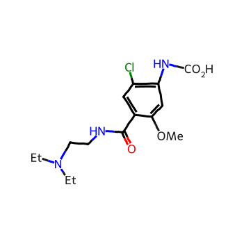 CCN(CC)CCNC(=O)c1cc(Cl)c(NC(=O)O)cc1OC